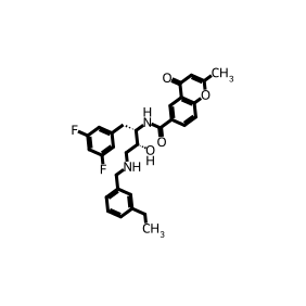 CCc1cccc(CNC[C@@H](O)[C@H](Cc2cc(F)cc(F)c2)NC(=O)c2ccc3oc(C)cc(=O)c3c2)c1